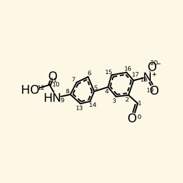 O=Cc1cc(-c2ccc(NC(=O)O)cc2)ccc1[N+](=O)[O-]